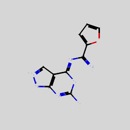 N=C(/N=c1\[nH]c(N)nc2[nH]ncc12)c1ccco1